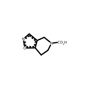 O=C(O)N1CCc2oncc2C1